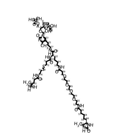 Cc1nc(=O)n([C@@H](O)O[C@H](COP(C)(=O)O)[C@@H](C)OP(=O)(O)O)cc1CCCNC(=O)[C@H](CCCCNC(=O)CCOCCOCCOCCOCCNC(=O)CCCCC[C@H]1NC(=O)N[C@H]1C)NC(=O)CCSSCCNC(=O)CCC1(C)NN1